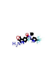 Nc1nc2cc(F)c(C(=O)N(Cc3ccc(C(F)(F)F)cn3)C34CC(C3)C4)cc2c2c1COC2